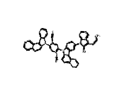 C/C=C\c1c(C)n(-c2ccc3c(c2)c2c4c(ccc2n3-c2cc(C#N)c(-n3c5ccccc5c5c6ccccc6ccc53)cc2C#N)CCC=C4)c2ccccc12